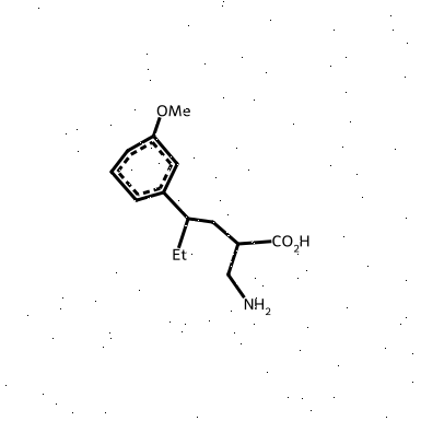 CCC(CC(CN)C(=O)O)c1cccc(OC)c1